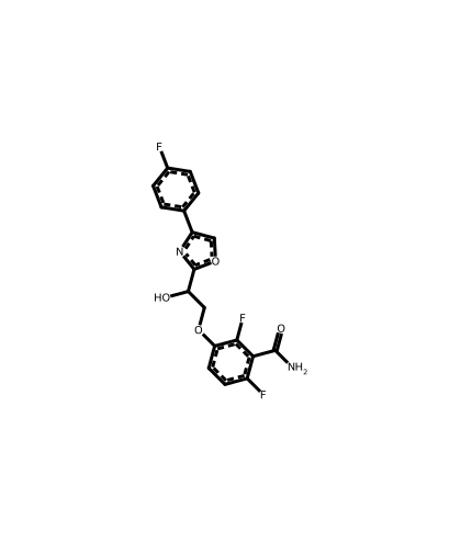 NC(=O)c1c(F)ccc(OCC(O)c2nc(-c3ccc(F)cc3)co2)c1F